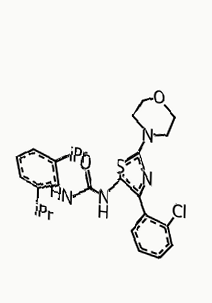 CC(C)c1cccc(C(C)C)c1NC(=O)Nc1sc(N2CCOCC2)nc1-c1ccccc1Cl